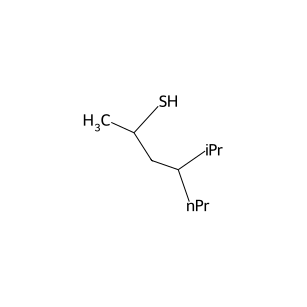 CCCC(CC(C)S)C(C)C